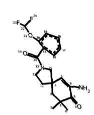 CC1(C)CC2(C=C(N)C1=O)CCN(C(=O)c1ccccc1OC(F)F)C2